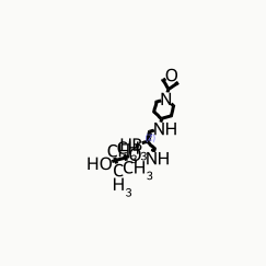 CC(C)(O)C(C)(C)OB/C(C=N)=C/NC1CCN(C2COC2)CC1